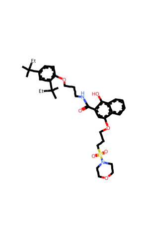 CCC(C)(C)c1ccc(OCCCNC(=O)c2cc(OCCCS(=O)(=O)N3CCOCC3)c3ccccc3c2O)c(C(C)(C)CC)c1